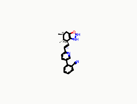 C[C@H]1[C@H](/C=C/c2ccc(-c3ccccc3C#N)cn2)C2=C(C[C@@H]1C)ONN2